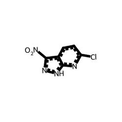 O=[N+]([O-])c1n[nH]c2nc(Cl)ccc12